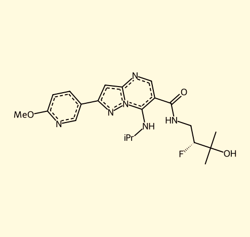 COc1ccc(-c2cc3ncc(C(=O)NC[C@@H](F)C(C)(C)O)c(NC(C)C)n3n2)cn1